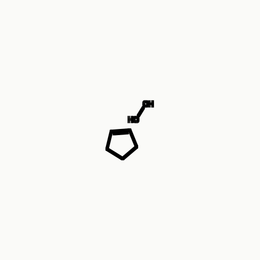 C1=CCCC1.OO